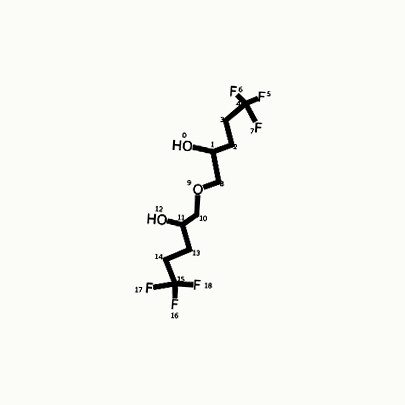 OC(CCC(F)(F)F)COCC(O)CCC(F)(F)F